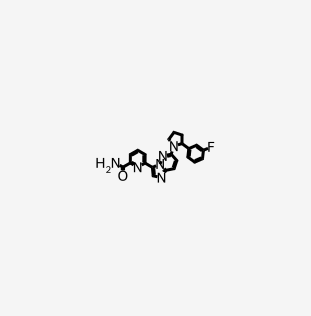 NC(=O)c1cccc(-c2cnc3ccc(N4CCCC4c4cccc(F)c4)nn23)n1